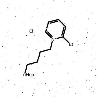 CCCCCCCCCCC[n+]1ccccc1CC.[Cl-]